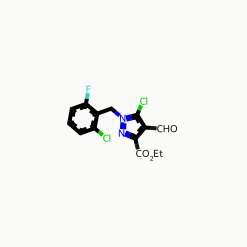 CCOC(=O)c1nn(Cc2c(F)cccc2Cl)c(Cl)c1C=O